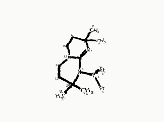 CCP(CC)N1C2=NC(C)(C)CCN2CCC1(C)C